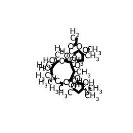 C=CC(=O)O[C@@H]1[C@@H](C)OC(O[C@H]2[C@H](C)[C@@H](OC3O[C@H](C)C[C@H](N(C)C)[C@H]3O)[C@](C)(O)C[C@@H](C)CN(C)[C@H](C)[C@@H](O)[C@](C)(O)[C@@H](CC)OC(=O)[C@@H]2C)C[C@@]1(C)OC